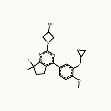 COc1ccc(-c2nc(N3CC(O)C3)nc3c2CCC3(F)F)cc1SC1CC1